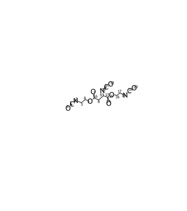 O=C=NCCOC(=O)CC(N=C=O)C(=O)OCCN=C=O